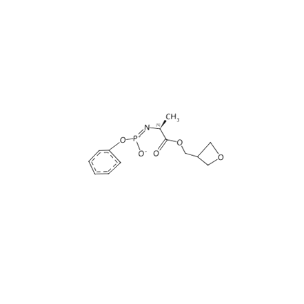 C[C@H](N=[P+]([O-])Oc1ccccc1)C(=O)OCC1COC1